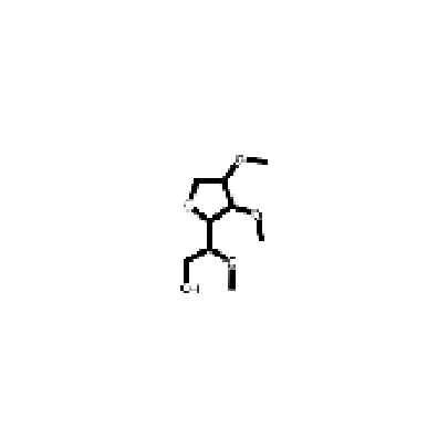 COC1COC(C(CO)OC)C1OC